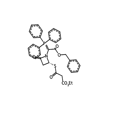 CCOC(=O)CC(=O)S[C@@H]1CC(=O)N1C(C(=O)OCc1ccccc1)=P(c1ccccc1)(c1ccccc1)c1ccccc1